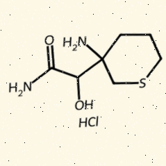 Cl.NC(=O)C(O)C1(N)CCCSC1